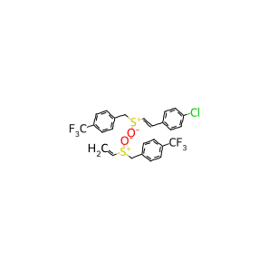 C=C[S+]([O-])Cc1ccc(C(F)(F)F)cc1.[O-][S+](/C=C/c1ccc(Cl)cc1)Cc1ccc(C(F)(F)F)cc1